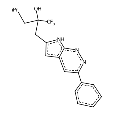 CC(C)CC(O)(Cc1cc2cc(-c3ccccc3)nnc2[nH]1)C(F)(F)F